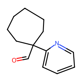 O=CC1(c2ccccn2)CCCCCC1